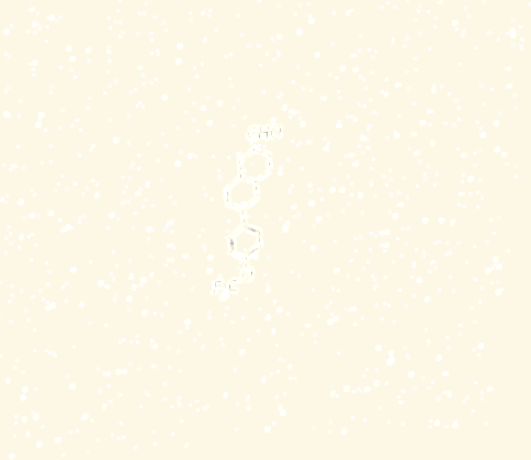 O=CC1CCC2CC(c3ccc(OC(F)(F)F)cc3)CCC2C1